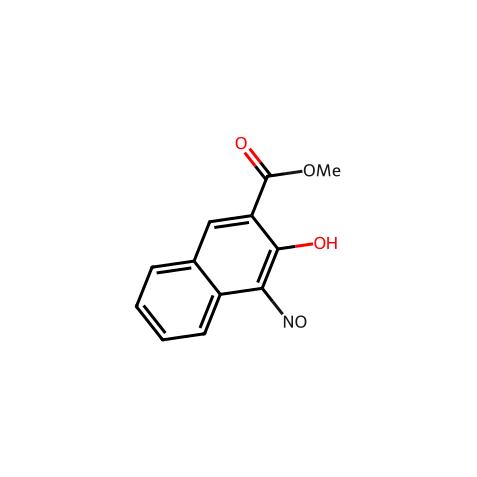 COC(=O)c1cc2ccccc2c(N=O)c1O